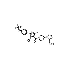 Cc1nc(-c2ccc(OC(F)(F)F)cc2)n(C2CC2)c1C(=O)N1CCC(N2CCCC2CO)CC1